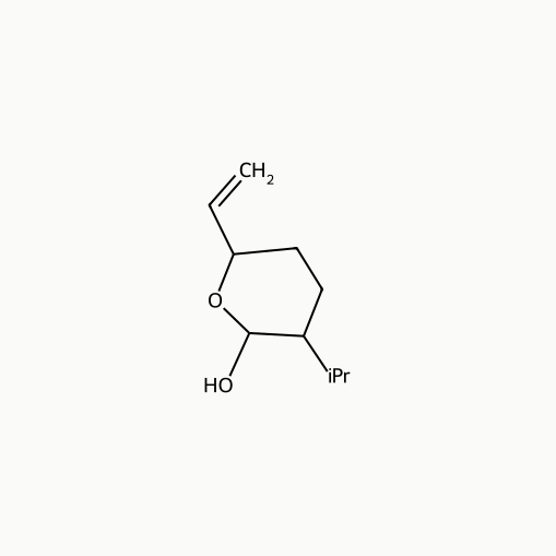 C=CC1CCC(C(C)C)C(O)O1